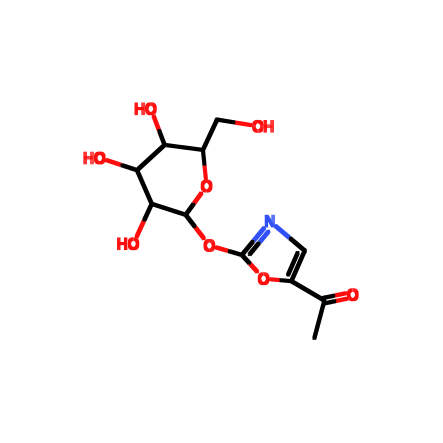 CC(=O)c1cnc(OC2OC(CO)C(O)C(O)C2O)o1